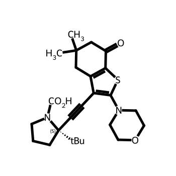 CC1(C)CC(=O)c2sc(N3CCOCC3)c(C#C[C@@]3(C(C)(C)C)CCCN3C(=O)O)c2C1